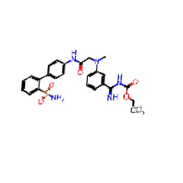 CN(CC(=O)Nc1ccc(-c2ccccc2S(N)(=O)=O)cc1)c1cccc(C(=N)NC(=O)OCC(Cl)(Cl)Cl)c1